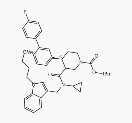 COCCCn1cc(CN(C(=O)C2CN(C(=O)OC(C)(C)C)CC[C@@H]2c2cccc(-c3ccc(F)cc3)c2)C2CC2)c2ccccc21